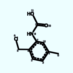 Cc1ccc(CCl)c(NC(=O)O)c1